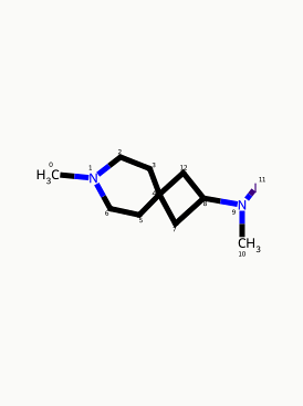 CN1CCC2(CC1)CC(N(C)I)C2